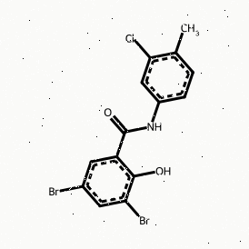 Cc1ccc(NC(=O)c2cc(Br)cc(Br)c2O)cc1Cl